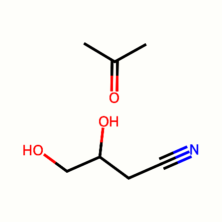 CC(C)=O.N#CCC(O)CO